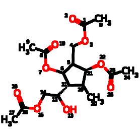 CC(=O)OCC1C(OC(C)=O)[C@@H](C(O)COC(C)=O)C(C)[C@@H]1OC(C)=O